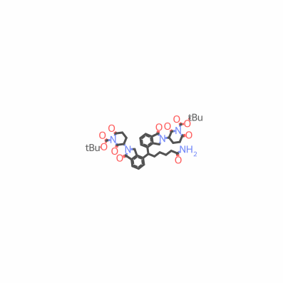 CC(C)(C)OC(=O)N1C(=O)CCC(N2Cc3c(cccc3C(CCCCC(N)=O)c3cccc4c3CN(C3CCC(=O)N(C(=O)OC(C)(C)C)C3=O)C4=O)C2=O)C1=O